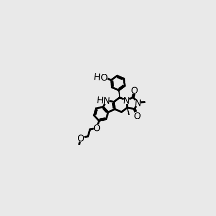 COCCOc1ccc2[nH]c3c(c2c1)C[C@@]1(C)C(=O)N(C)C(=O)N1[C@@H]3c1cccc(O)c1